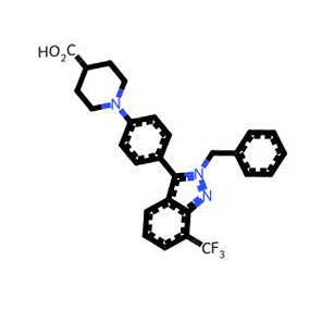 O=C(O)C1CCN(c2ccc(-c3c4cccc(C(F)(F)F)c4nn3Cc3ccccc3)cc2)CC1